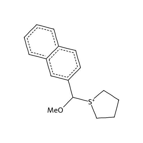 COC(c1ccc2ccccc2c1)[S+]1CCCC1